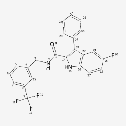 O=C(NCc1cccc(C(F)(F)F)c1)c1[nH]c2ccc(F)cc2c1-c1ccccc1